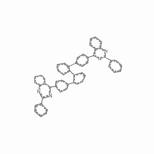 c1ccc(-c2nc(-c3ccc(-c4ccccc4-c4ccccc4-c4ccc(-c5nc(-c6ccccc6)nc6ccccc56)cc4)cc3)c3ccccc3n2)cc1